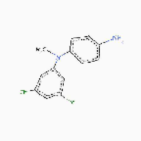 CN(c1ccc(N)cc1)c1cc(Cl)cc(Cl)c1